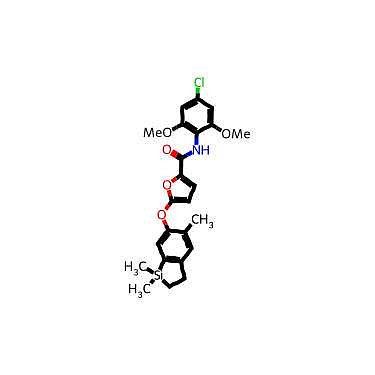 COc1cc(Cl)cc(OC)c1NC(=O)c1ccc(Oc2cc3c(cc2C)CC[Si]3(C)C)o1